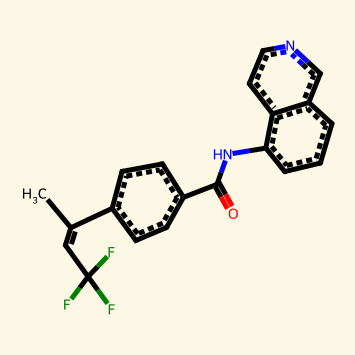 C/C(=C/C(F)(F)F)c1ccc(C(=O)Nc2cccc3cnccc23)cc1